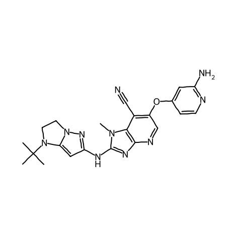 Cn1c(Nc2cc3n(n2)CCN3C(C)(C)C)nc2ncc(Oc3ccnc(N)c3)c(C#N)c21